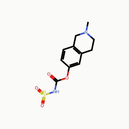 CN1CCc2cc(OC(=O)N[SH](=O)=O)ccc2C1